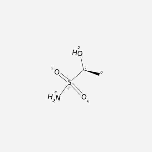 C[C@H](O)S(N)(=O)=O